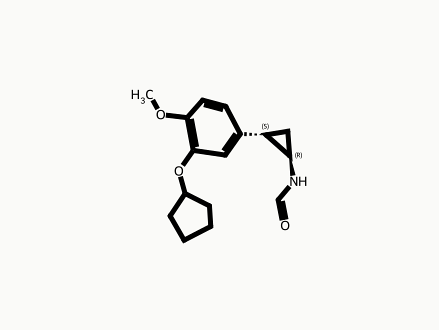 COc1ccc([C@@H]2C[C@H]2NC=O)cc1OC1CCCC1